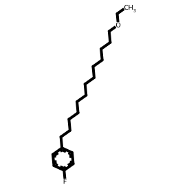 CCOCCCCCCCCCCCCCc1ccc(F)cc1